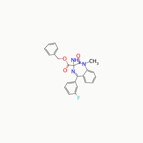 CN1C(=O)C(N)(C(=O)OCc2ccccc2)N=C(c2cccc(F)c2)c2ccccc21